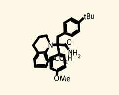 COc1ccc(C(Cc2ccc(C(C)(C)C)cc2)(C(N)=O)N2CCCc3cccc(C(=O)O)c32)cc1